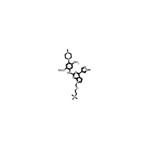 COc1cc(N2CCN(C)CC2)c(N)cc1Nc1nc(-c2cnn(C)c2)c2ccn(COCC[Si](C)(C)C)c2n1